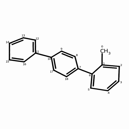 Cc1ccccc1-c1ccc(-c2cc[c]cc2)cc1